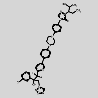 CCC(C(C)O)n1ncn(-c2ccc(N3CCN(c4ccc(-c5ccc(C(F)(F)C(O)(Cn6cnnn6)c6cccc(Cl)c6)nc5)cc4)CC3)cc2)c1=O